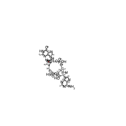 Cc1nc2c(ncn2[C@H]2[C@@H]3OP(=O)(O)OCC45C[C@@H]4[C@@H](n4cnc6c(N)ncnc64)[C@H](O)[C@@H]5OP(=O)(S)OCC4(C[C@H]24)[C@H]3O)c(=O)[nH]1